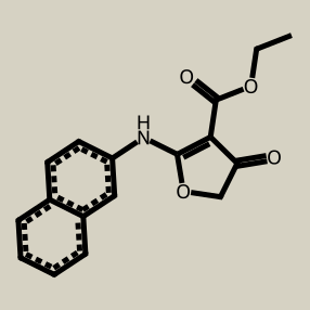 CCOC(=O)C1=C(Nc2ccc3ccccc3c2)OCC1=O